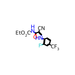 CCOC(=O)NC(=O)C(C#N)=CNc1ccc(C(F)(F)F)cc1F